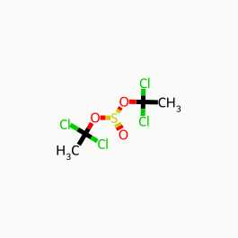 CC(Cl)(Cl)OS(=O)OC(C)(Cl)Cl